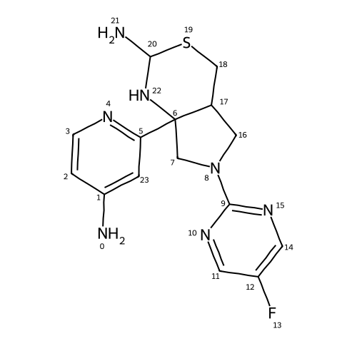 Nc1ccnc(C23CN(c4ncc(F)cn4)CC2CSC(N)N3)c1